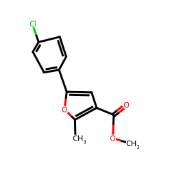 COC(=O)c1cc(-c2ccc(Cl)cc2)oc1C